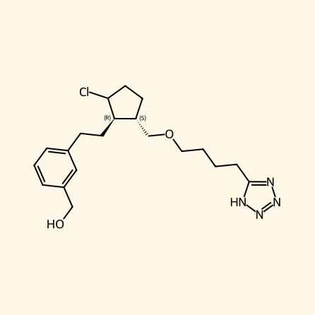 OCc1cccc(CC[C@H]2C(Cl)CC[C@@H]2COCCCCc2nnn[nH]2)c1